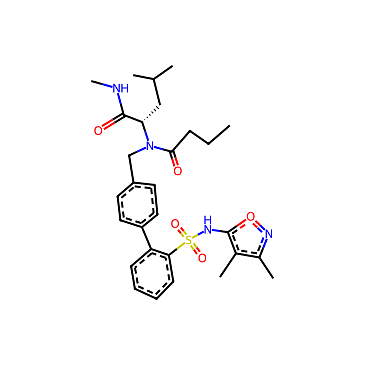 CCCC(=O)N(Cc1ccc(-c2ccccc2S(=O)(=O)Nc2onc(C)c2C)cc1)[C@@H](CC(C)C)C(=O)NC